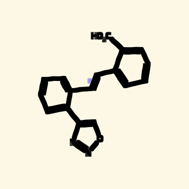 O=C(O)c1ccccc1/C=C/c1ccccc1-c1conn1